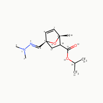 CN(C)/N=C/[C@@]12C=C[C@@H](O1)C(C(=O)OC(C(F)(F)F)C(F)(F)F)C2